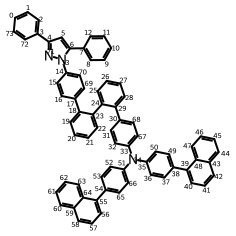 c1ccc(-c2cc(-c3ccccc3)n(-c3ccc(-c4ccccc4-c4ccccc4-c4ccc(N(c5ccc(-c6cccc7ccccc67)cc5)c5ccc(-c6cccc7ccccc67)cc5)cc4)cc3)n2)cc1